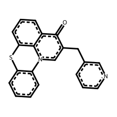 O=c1c(Cc2cccnc2)cn2c3c(cccc13)Sc1ccccc1-2